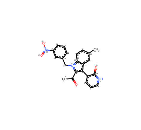 CC(=O)c1c(-c2ccc[nH]c2=O)c2cc(C)ccc2n1Cc1cccc([N+](=O)[O-])c1